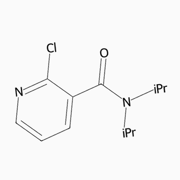 CC(C)N(C(=O)c1cccnc1Cl)C(C)C